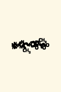 CCc1nc(-n2cnnn2)cnc1CCN1CCC2(CC1)CC(C)N(C1=CC(=O)OC1)C2=O